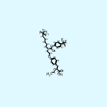 CCOC(Cc1ccc(OCCN(CCCCCC(C)(F)F)C(=O)Oc2ccc(C(F)(F)F)cc2)cc1)C(=O)O